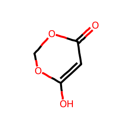 O=C1C=C(O)OCO1